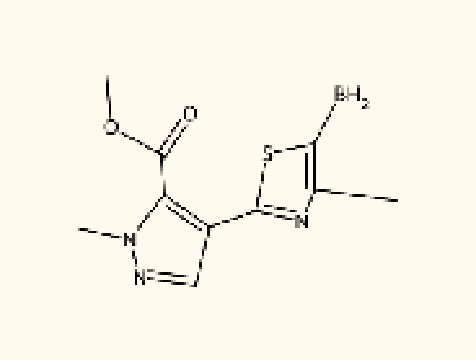 Bc1sc(-c2cnn(C)c2C(=O)OC)nc1C